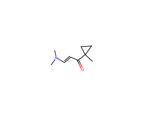 CN(C)/C=C/C(=O)C1(C)CC1